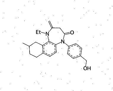 C=C1CC(=O)N(c2ccc(CO)cc2)c2ccc3c(c2N1CC)CC(C)CC3